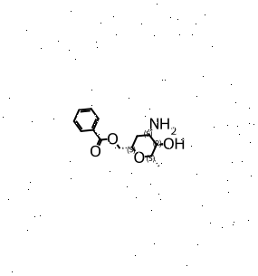 C[C@@H]1O[C@H](COC(=O)c2ccccc2)C[C@H](N)[C@H]1O